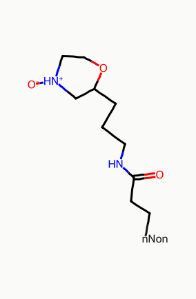 CCCCCCCCCCCC(=O)NCCCC1C[NH+]([O-])CCO1